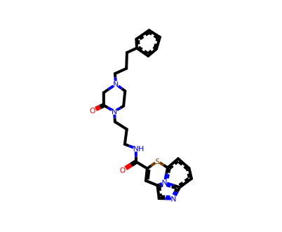 O=C(NCCCN1CCN(CCCc2ccccc2)CC1=O)C1=Cc2cnc3cccc(n23)S1